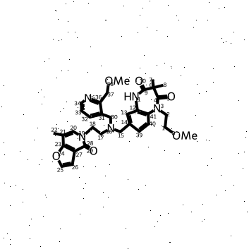 COCCN1C(=O)C(C)(C)C(=O)Nc2cc(CN(CCn3cc(C)c4occc4c3=O)Cc3cccnc3COC)ccc21